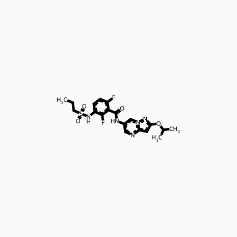 CCCS(=O)(=O)Nc1ccc(F)c(C(=O)Nc2cnc3cc(OC(C)C)nn3c2)c1F